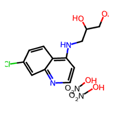 O=[N+]([O-])O.O=[N+]([O-])O.OCC(O)CNc1ccnc2cc(Cl)ccc12